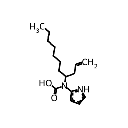 C=CCC(CCCCCCC)N(C(=O)O)c1ccc[nH]1